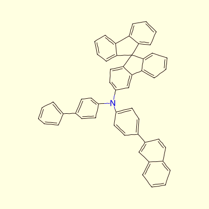 c1ccc(-c2ccc(N(c3ccc(-c4ccc5ccccc5c4)cc3)c3ccc4c(c3)-c3ccccc3C43c4ccccc4-c4ccccc43)cc2)cc1